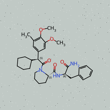 COc1cc([C@@H](C(=O)N2CCCC[C@H]2C(=O)N[C@H](Cc2ccccc2)C(N)=O)C2CCCCC2)cc(C)c1OC